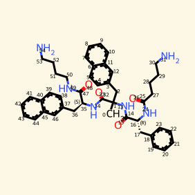 CC(Cc1ccc2ccccc2c1)(NC(=O)[C@@H](Cc1ccccc1)NC(=O)CCCCN)C(=O)N[C@@H](Cc1ccc2ccccc2c1)C(=O)NCCCCN